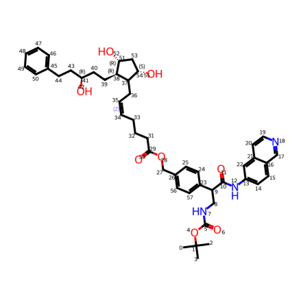 CC(C)(C)OC(=O)NCC(C(=O)Nc1ccc2cnccc2c1)c1ccc(COC(=O)CCC/C=C\CC2[C@@H](CC[C@@H](O)CCc3ccccc3)[C@H](O)C[C@@H]2O)cc1